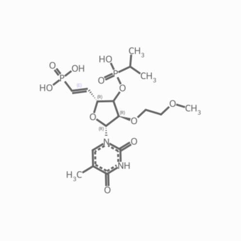 COCCO[C@@H]1C(OP(=O)(O)C(C)C)[C@@H](/C=C/P(=O)(O)O)O[C@H]1n1cc(C)c(=O)[nH]c1=O